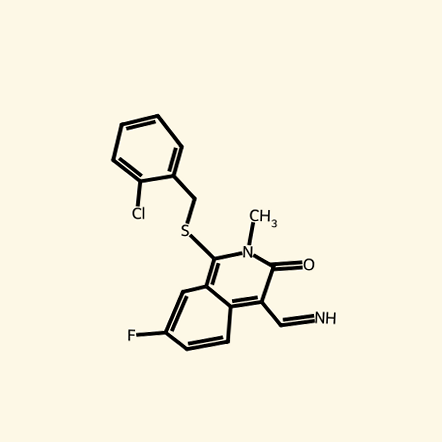 Cn1c(SCc2ccccc2Cl)c2cc(F)ccc2c(C=N)c1=O